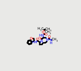 CNC(=O)N1CCC2CCC(C(=O)NC3COc4ccccc43)N2C(=O)C(NC(=O)OC(C)(C)C)C1